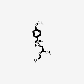 CCOC(C)CNS(=O)(=O)c1ccc(OC)cc1